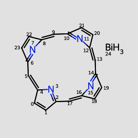 C1=CC2=NC1=CC1=NC(=CC3=NC(=CC4=NC(=C2)C=C4)C=C3)C=C1.[BiH3]